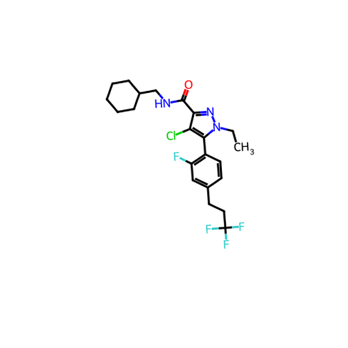 CCn1nc(C(=O)NCC2CCCCC2)c(Cl)c1-c1ccc(CCC(F)(F)F)cc1F